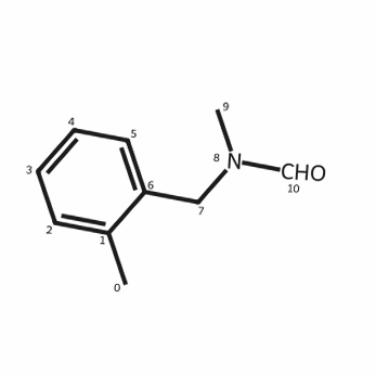 Cc1ccccc1CN(C)C=O